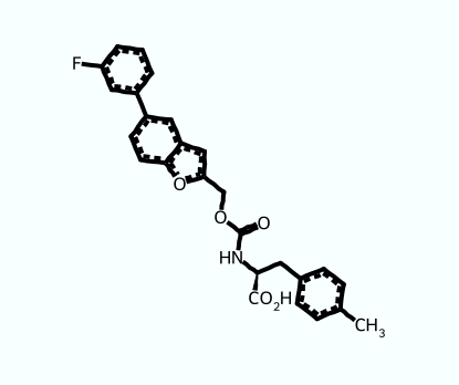 Cc1ccc(C[C@H](NC(=O)OCc2cc3cc(-c4cccc(F)c4)ccc3o2)C(=O)O)cc1